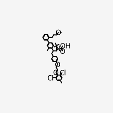 COCCCc1ccccc1-c1ccc(C(Cc2ccc(OCCOc3c(Cl)cc(C)cc3Cl)cc2)CN(C(=O)O)C(C)(C)C)c(C)c1